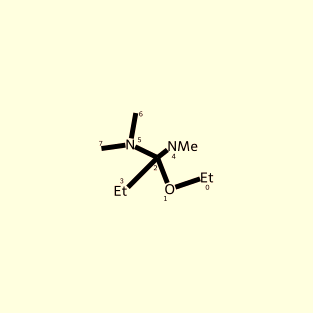 CCOC(CC)(NC)N(C)C